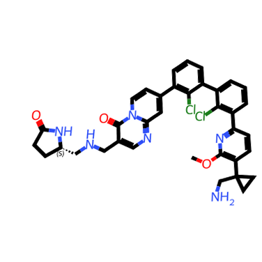 COc1nc(-c2cccc(-c3cccc(-c4ccn5c(=O)c(CNC[C@@H]6CCC(=O)N6)cnc5c4)c3Cl)c2Cl)ccc1C1(CN)CC1